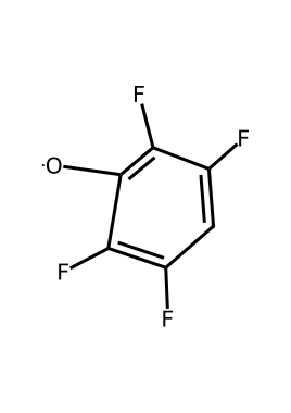 [O]c1c(F)c(F)cc(F)c1F